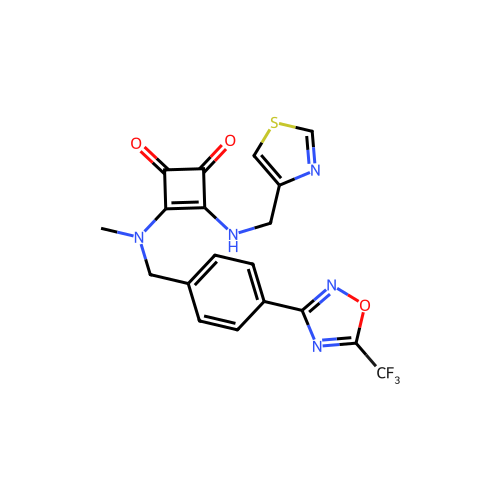 CN(Cc1ccc(-c2noc(C(F)(F)F)n2)cc1)c1c(NCc2cscn2)c(=O)c1=O